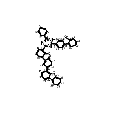 c1ccc(C2=NC(c3cccc4c3sc3ccc(-c5cccc6c5sc5ccccc56)cc34)NC(c3ccc4c(c3)sc3ccccc34)N2)cc1